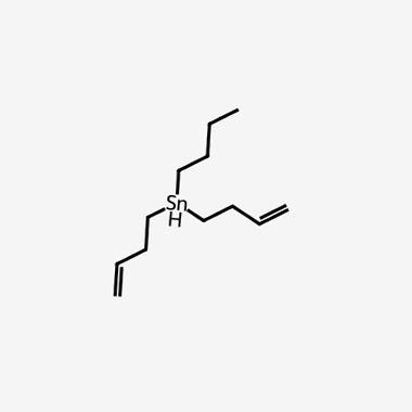 C=CC[CH2][SnH]([CH2]CC=C)[CH2]CCC